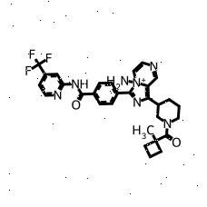 CC1(C(=O)N2CCCC(C3=C4C=NC=C[N+]4(N)C(c4ccc(C(=O)Nc5cc(C(F)(F)F)ccn5)cc4)=N3)C2)CCC1